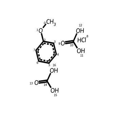 COc1ccccc1.Cl.O=C(O)O.O=C(O)O